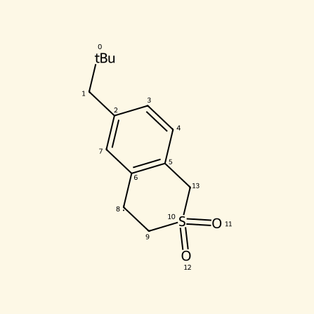 CC(C)(C)Cc1ccc2c(c1)[CH]CS(=O)(=O)C2